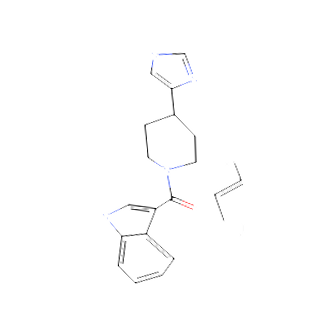 O=C(O)C=CC(=O)O.O=C(c1c[nH]c2ccccc12)N1CCC(c2c[nH]cn2)CC1